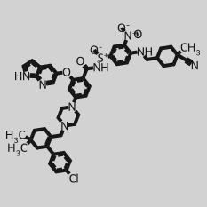 CC1(C)CCC(CN2CCN(c3ccc(C(=O)N[S+]([O-])c4ccc(NCC5CCC(C)(C#N)CC5)c([N+](=O)[O-])c4)c(Oc4cnc5[nH]ccc5c4)c3)CC2)=C(c2ccc(Cl)cc2)C1